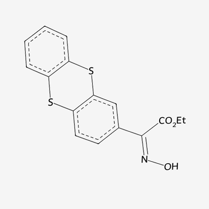 CCOC(=O)/C(=N\O)c1ccc2c(c1)Sc1ccccc1S2